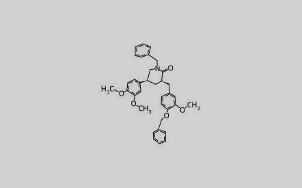 COc1ccc([C@@H]2C[C@H](Cc3ccc(OCc4ccccc4)c(OC)c3)C(=O)N(Cc3ccccc3)C2)cc1OC